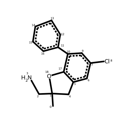 CC1(CN)Cc2cc(Cl)cc(-c3ccccc3)c2O1